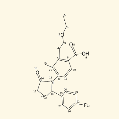 CCOCCc1c(C(=O)O)ccc(N2C(=O)CSC2c2ccc(F)cc2)c1C